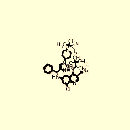 C[C@@H](Nc1c(C#N)cnc2c(Cl)cc(N[C@H](C3=CN(C4CCN(C(C)(C)C)CC4)NN3)c3ccccc3)cc12)C(C)(C)C